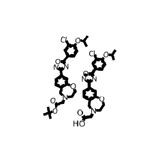 CC(C)Oc1ccc(-c2nc(-c3ccc4c(c3)OCCN(CC(=O)O)C4)no2)cc1Cl.CC(C)Oc1ccc(-c2nc(-c3ccc4c(c3)OCCN(CC(=O)OC(C)(C)C)C4)no2)cc1Cl